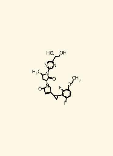 CCOc1ccc(F)c(C2CC2C2=CC(=O)N([C@H]3CC(C)N(c4cnc([C@H](O)CO)cn4)C3=O)C2)c1F